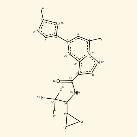 Cc1ncc(-c2cc(C)n3ncc(C(=O)NC(C4CC4)C(F)(F)F)c3n2)o1